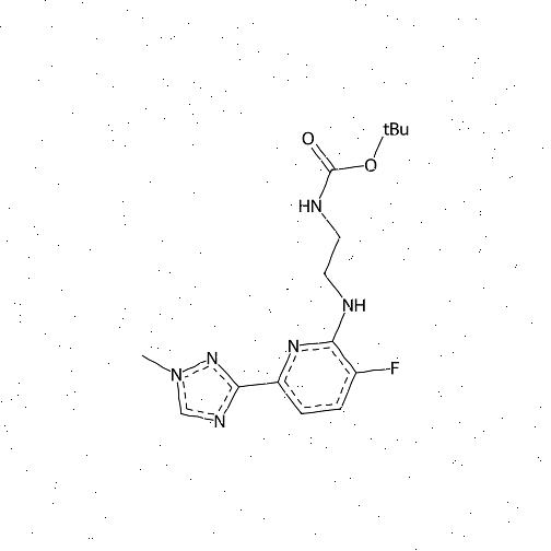 Cn1cnc(-c2ccc(F)c(NCCNC(=O)OC(C)(C)C)n2)n1